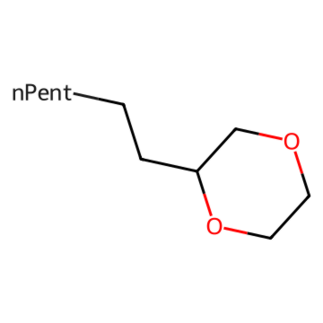 CCCCCCCC1COCCO1